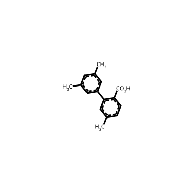 Cc1cc(C)cc(-c2cc(C)ccc2C(=O)O)c1